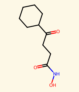 O=C(CCC(=O)C1CCCCC1)NO